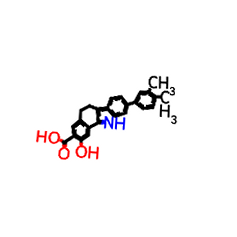 Cc1ccc(-c2ccc3c4c([nH]c3c2)-c2cc(O)c(C(=O)O)cc2CC4)cc1C